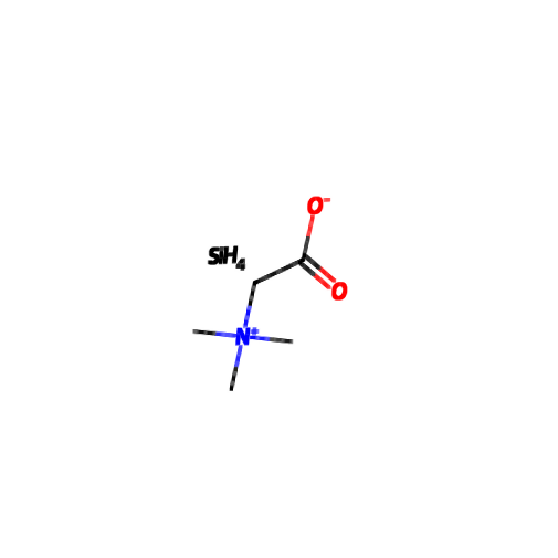 C[N+](C)(C)CC(=O)[O-].[SiH4]